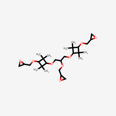 CC1(C)C(OCC2CO2)C(C)(C)C1OCC(COC1C(C)(C)C(OCC2CO2)C1(C)C)OCC1CO1